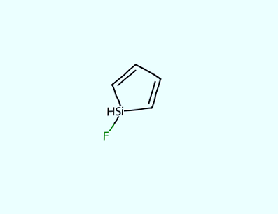 F[SiH]1C=CC=C1